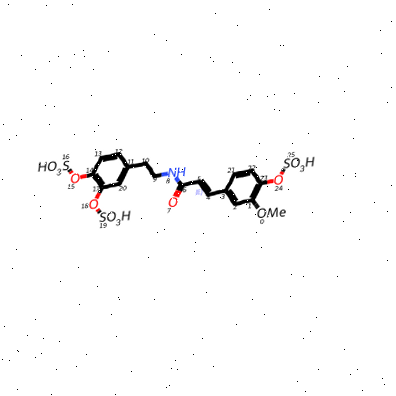 COc1cc(/C=C/C(=O)NCCc2ccc(OS(=O)(=O)O)c(OS(=O)(=O)O)c2)ccc1OS(=O)(=O)O